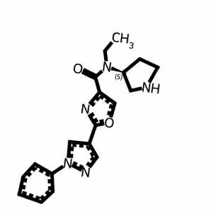 CCN(C(=O)c1coc(-c2cnn(-c3ccccc3)c2)n1)[C@H]1CCNC1